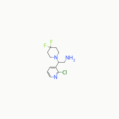 NCC(c1cccnc1Cl)N1CCC(F)(F)CC1